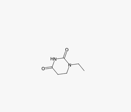 CCN1CCC(=O)NC1=O